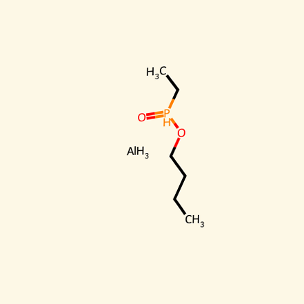 CCCCO[PH](=O)CC.[AlH3]